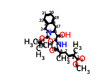 COC(=O)/C(C)=C/CC(C)C(=O)NCC(O)[C@@H]1Cc2ccccc2CN1C(=O)OC(C)(C)C